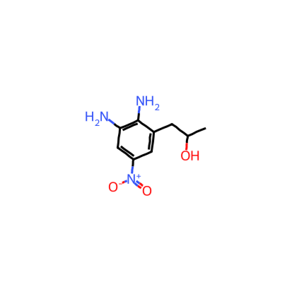 CC(O)Cc1cc([N+](=O)[O-])cc(N)c1N